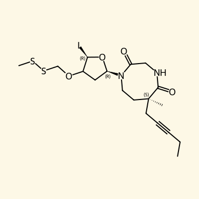 CCC#CC[C@@]1(C)CCN([C@H]2CC(OCSSC)[C@@H](I)O2)C(=O)CNC1=O